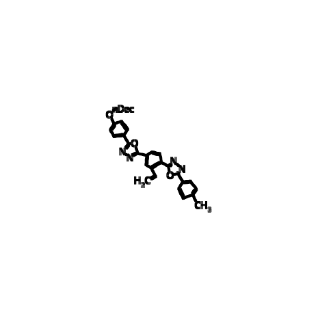 C=Cc1cc(-c2nnc(-c3ccc(OCCCCCCCCCC)cc3)o2)ccc1-c1nnc(-c2ccc(C)cc2)o1